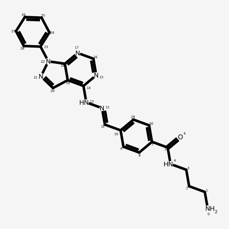 NCCCNC(=O)c1ccc(/C=N/Nc2ncnc3c2cnn3-c2ccccc2)cc1